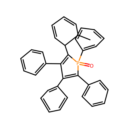 CC1C=CC=CC1C1=C(c2ccccc2)C(c2ccccc2)=C(c2ccccc2)P1(=O)c1ccccc1